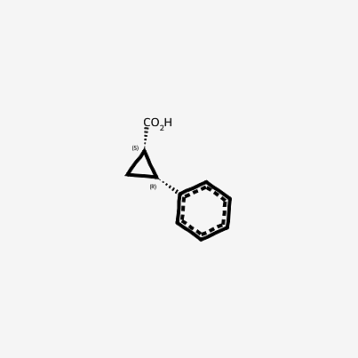 O=C(O)[C@H]1C[C@H]1c1ccccc1